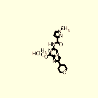 COc1nc(NC(=O)c2ccn(C)n2)cn2cc(C3CCOCC3)nc12.Cl